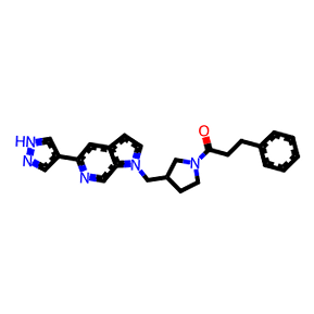 O=C(CCc1ccccc1)N1CCC(Cn2ccc3cc(-c4cn[nH]c4)ncc32)C1